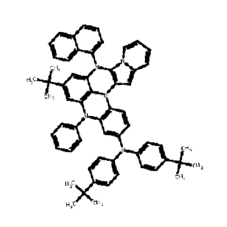 CC(C)(C)c1ccc(N(c2ccc(C(C)(C)C)cc2)c2ccc3c(c2)N(c2ccccc2)c2cc(C(C)(C)C)cc4c2B3c2cc3ccccn3c2N4c2cccc3ccccc23)cc1